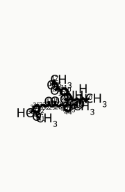 CCNC(=O)CCC(Nc1ccc(C(=O)CC(C)=O)cc1)C(=O)c1c(C=CC(=O)CC(=O)C=Cc2ccc(O)c(OC)c2)cccc1OC